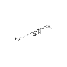 CCCCCCCCC(O)CCCNCCCC